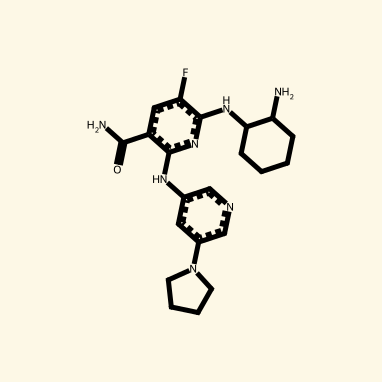 NC(=O)c1cc(F)c(NC2CCCCC2N)nc1Nc1cncc(N2CCCC2)c1